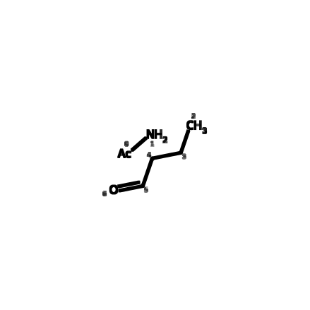 CC(N)=O.CCCC=O